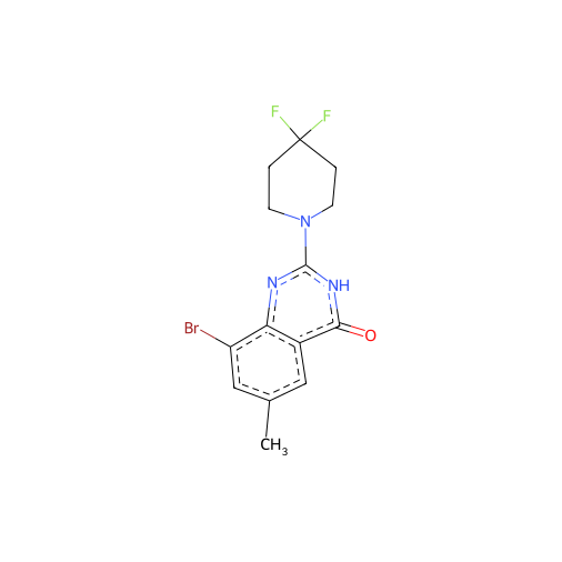 Cc1cc(Br)c2nc(N3CCC(F)(F)CC3)[nH]c(=O)c2c1